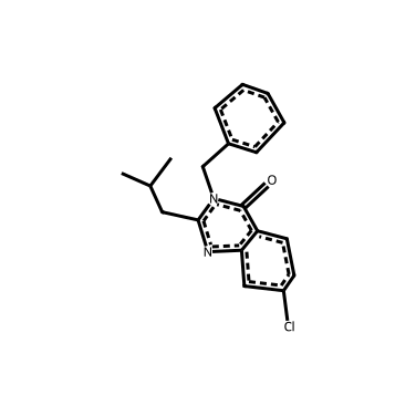 CC(C)Cc1nc2cc(Cl)ccc2c(=O)n1Cc1ccccc1